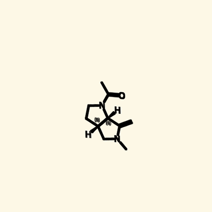 C=C1[C@@H]2[C@@H](CCN2C(C)=O)CN1C